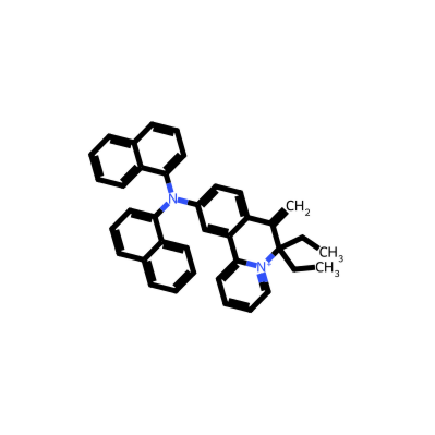 C=C1c2ccc(N(c3cccc4ccccc34)c3cccc4ccccc34)cc2-c2cccc[n+]2C1(CC)CC